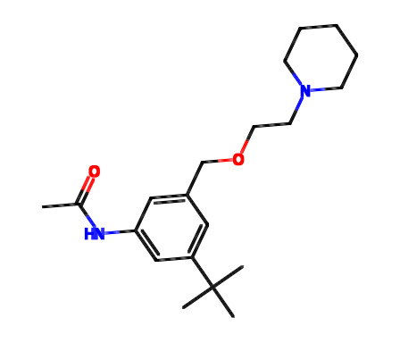 CC(=O)Nc1cc(COCCN2CCCCC2)cc(C(C)(C)C)c1